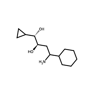 NC(C[C@@H](O)[C@@H](O)C1CC1)C1CCCCC1